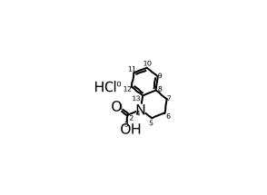 Cl.O=C(O)N1CCCc2ccccc21